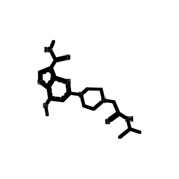 CNC(=O)c1csc2c(OC)cc(N3CCN(CC(=O)NC(C)C)CC3)nc12